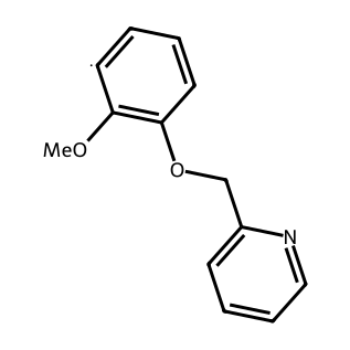 COc1[c]cccc1OCc1ccccn1